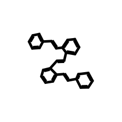 C(=C\c1ccccc1/C=C/c1ccccc1/C=C/c1ccccc1)/c1ccccc1